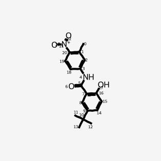 Cc1cc(NC(=O)c2cc(C(C)(C)C)ccc2O)ccc1[N+](=O)[O-]